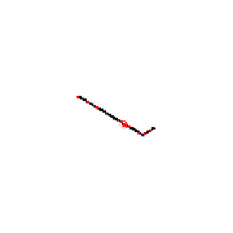 CCCCCCCC/C=C\CCCCCCCCCCCC(=O)OC(=O)CCCCCCCCCCCCCCCCCCCCCCCCCCCCCCCCC